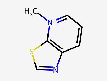 C[n+]1cccc2ncsc21